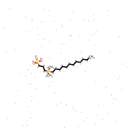 CCCCCCCCCCCC[P+](C)(C)CCCS(=O)(=O)[O-]